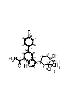 CC1(C)C[C@@H](c2c[nH]c3c(C(N)=O)cc(-c4ccc(F)cc4)cc23)CCS1(O)O